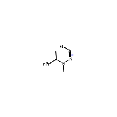 CC/C=N\N(C)C(C)CCC